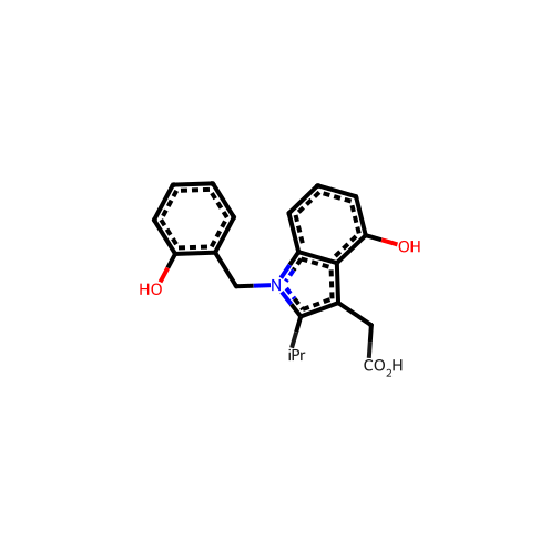 CC(C)c1c(CC(=O)O)c2c(O)cccc2n1Cc1ccccc1O